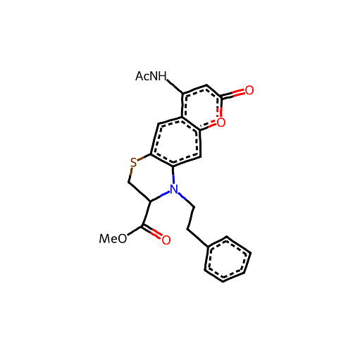 COC(=O)C1CSc2cc3c(NC(C)=O)cc(=O)oc3cc2N1CCc1ccccc1